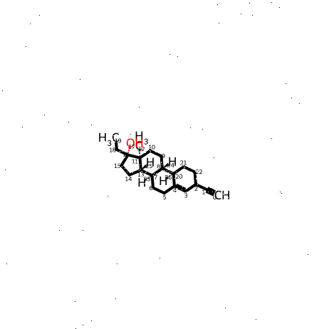 C#CC1C=C2CC[C@@H]3[C@H](CC[C@@]4(C)[C@H]3CC[C@@]4(O)CC)[C@H]2CC1